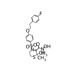 CC1(C)SCCN(S(=O)(=O)c2ccc(OCCc3ccc(F)cc3)cc2)[C@H]1C(=O)NO